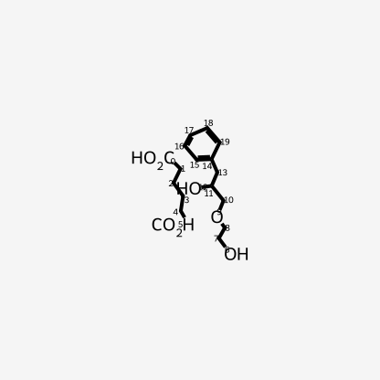 O=C(O)CCCCC(=O)O.OCCOCC(O)Cc1ccccc1